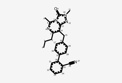 CCCc1nc(C)n2c(=O)n(C)nc2c1Cc1ccc(-c2ccccc2C#N)cc1